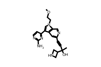 COCCn1cc(-c2ccnc(N)n2)c2cc(C#CC(C)(O)C3CNC3)ncc21